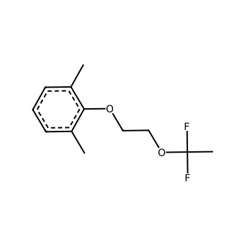 Cc1cccc(C)c1OCCOC(C)(F)F